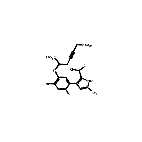 COCC#CCC(Oc1cc(-c2cc(C(F)(F)F)[nH]c2C(Cl)Cl)c(F)cc1Cl)C(=O)O